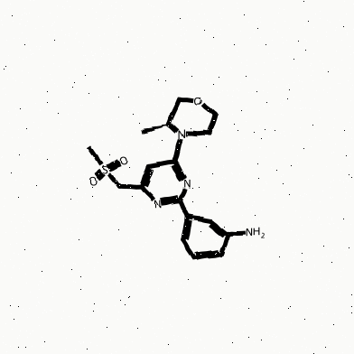 C[C@H]1COCCN1c1cc(CS(C)(=O)=O)nc(-c2cccc(N)c2)n1